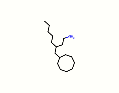 CCCCCC(CCN)CC1CCCCCCC1